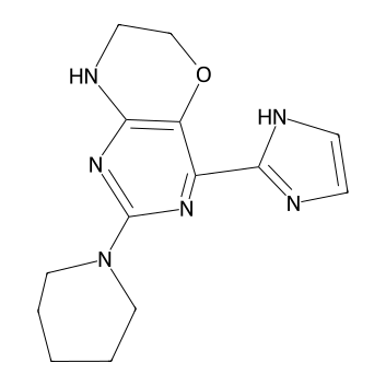 c1c[nH]c(-c2nc(N3CCCCC3)nc3c2OCCN3)n1